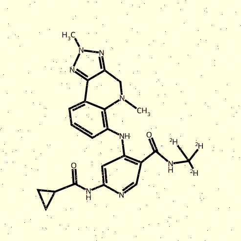 [2H]C([2H])([2H])NC(=O)c1cnc(NC(=O)C2CC2)cc1Nc1cccc2c1N(C)Cc1nn(C)nc1-2